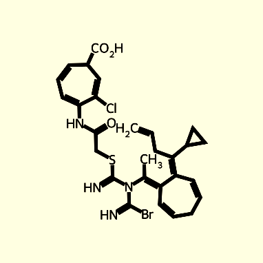 C=CC/C(=C1/C=CCC=C/C1=C(/C)N(C(=N)Br)C(=N)SCC(=O)NC1=CC=CC(C(=O)O)C=C1Cl)C1CC1